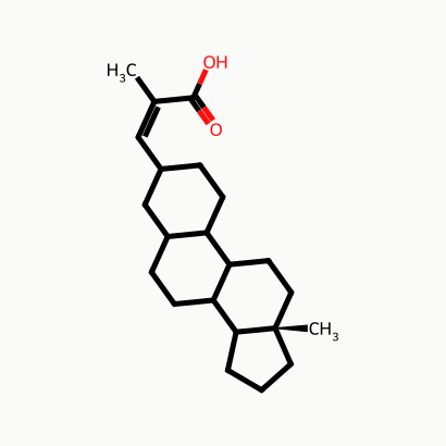 CC(=CC1CCC2C(CCC3C2CC[C@]2(C)CCCC32)C1)C(=O)O